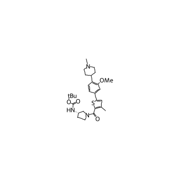 COc1cc(-c2cc(C)c(C(=O)N3CC[C@H](NC(=O)OC(C)(C)C)C3)s2)ccc1C1CCN(C)CC1